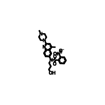 Cc1cc(N2CCN(C)CC2)nc2ccc(N(CCCO)S(=O)(=O)c3ccccc3[N+](=O)[O-])cc12